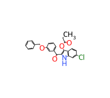 CCC(=O)Oc1c(C(=O)c2cccc(OCc3ccccc3)c2)[nH]c2cc(Cl)ccc12